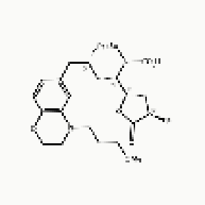 COCCCN1CCOc2ccc(C[C@@H](C[C@@H]([C@@H]3C[C@@H](C(C)C)C(=O)O3)N(C(=O)O)C(C)(C)C)C(C)C)cc21